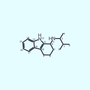 CC(C)C(C)NC1CCCc2c1[nH]c1ccccc21